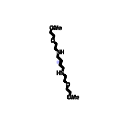 COCCOCCNC/C=C/CNCCOCCOC